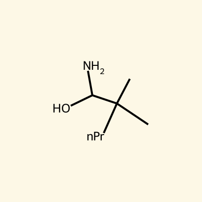 CCCC(C)(C)C(N)O